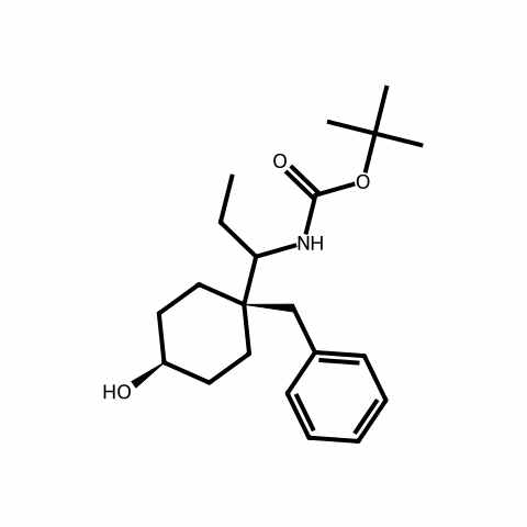 CCC(NC(=O)OC(C)(C)C)[C@]1(Cc2ccccc2)CC[C@@H](O)CC1